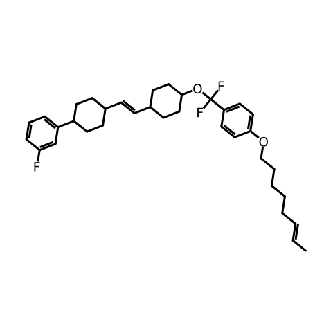 C/C=C/CCCCCOc1ccc(C(F)(F)OC2CCC(/C=C/C3CCC(c4cccc(F)c4)CC3)CC2)cc1